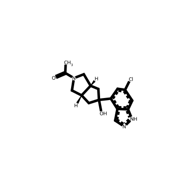 CC(=O)N1C[C@@H]2CC(O)(c3cc(Cl)cc4[nH]ncc34)C[C@@H]2C1